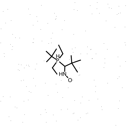 CC[PH](CC)(C(N[O])C(C)(C)C)C(C)(C)C